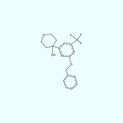 OC1(c2cc(OCc3ccccc3)cc(C(F)(F)F)c2)CCOCC1